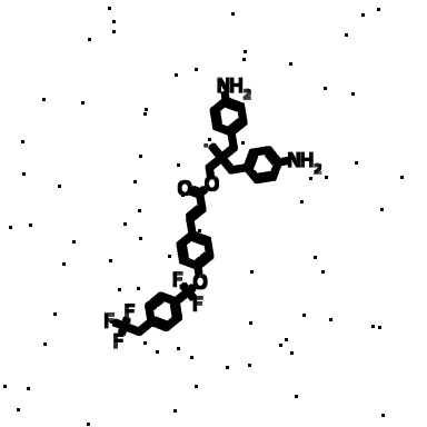 [CH2]C(COC(=O)/C=C/c1ccc(OC(F)(F)c2ccc(CC(F)(F)F)cc2)cc1)(Cc1ccc(N)cc1)Cc1ccc(N)cc1